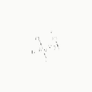 CO.[Br-].[Br-].[Cl][Mg][Cl].[Mg+2]